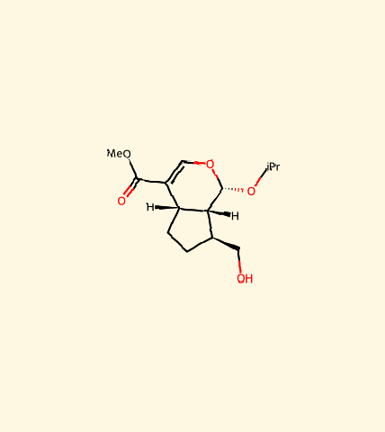 COC(=O)C1=CO[C@H](OC(C)C)[C@@H]2[C@@H](CO)CC[C@H]12